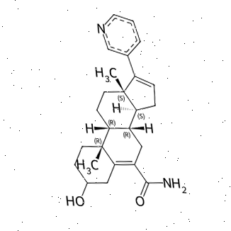 C[C@]12CCC(O)CC1=C(C(N)=O)C[C@@H]1[C@H]2CC[C@]2(C)C(c3cccnc3)=CC[C@@H]12